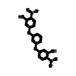 O=[N+]([O-])c1ccc(Oc2cccc(Oc3ccc([N+](=O)[O-])c(O)c3)c2)cc1O